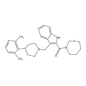 Cc1cccc(C)c1C1CCN(Cc2c(C(=O)N3CCCCCC3)[nH]c3ccccc23)CC1